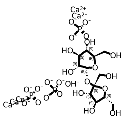 O=P([O-])([O-])[O-].O=P([O-])([O-])[O-].O=P([O-])([O-])[O-].OC[C@H]1O[C@@](CO)(O[C@H]2O[C@H](CO)[C@@H](O)[C@H](O)[C@H]2O)[C@@H](O)[C@@H]1O.[Ca+2].[Ca+2].[Ca+2].[Ca+2].[Ca+2].[OH-]